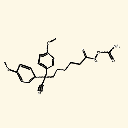 COc1ccc(C(C#N)(CCCCCC(=O)NOC(N)=O)c2ccc(OC)cc2)cc1